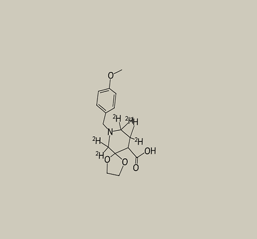 [2H]C1([2H])C(C(=O)O)C2(OCCO2)C([2H])([2H])N(Cc2ccc(OC)cc2)C1([2H])[2H]